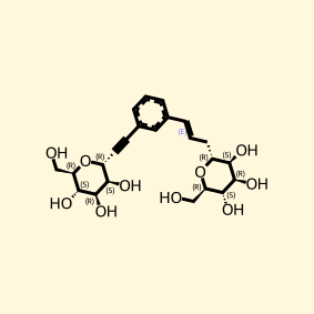 OC[C@H]1O[C@H](C/C=C/c2cccc(C#C[C@H]3O[C@H](CO)[C@@H](O)[C@H](O)[C@@H]3O)c2)[C@@H](O)[C@@H](O)[C@@H]1O